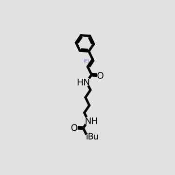 CCC(C)C(=O)NCCCCNC(=O)/C=C/c1ccccc1